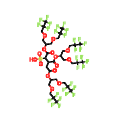 O=C(CC(C(=O)OC(COCC(F)(F)C(F)(F)F)COCC(F)(F)C(F)(F)F)C(C(=O)OC(COCC(F)(F)C(F)(F)F)COCC(F)(F)C(F)(F)F)S(=O)(=O)O)OC(COCC(F)(F)C(F)(F)F)COCC(F)(F)C(F)(F)F